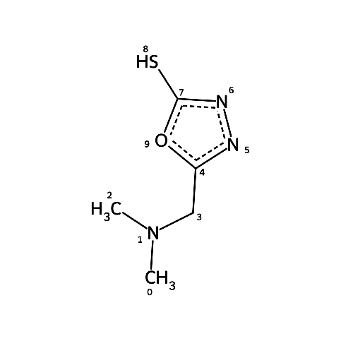 CN(C)Cc1nnc(S)o1